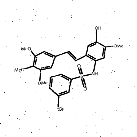 COc1cc(NS(=O)(=O)c2cccc(C(C)(C)C)c2)c(C=Cc2cc(OC)c(OC)c(OC)c2)cc1O